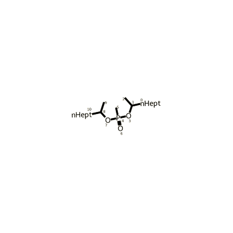 CCCCCCCC(C)OP(C)(=O)OC(C)CCCCCCC